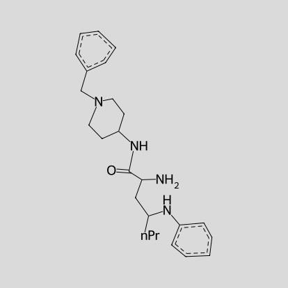 CCCC(CC(N)C(=O)NC1CCN(Cc2ccccc2)CC1)Nc1ccccc1